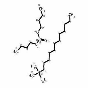 CCCCCCCCCCCC[N+](C)(C)C.CCCCO[PH](=O)OCCCC